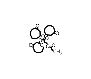 C=CC(=O)OCCC(OC1CCCCCCC2OC2C1)(OC1CCCCCCC2OC2C1)OC1CCCCCCC2OC2C1